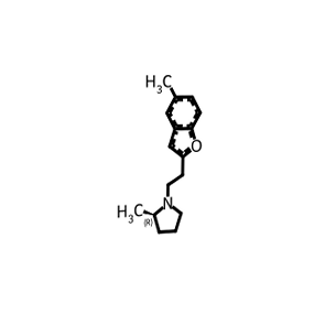 Cc1ccc2oc(CCN3CCC[C@H]3C)cc2c1